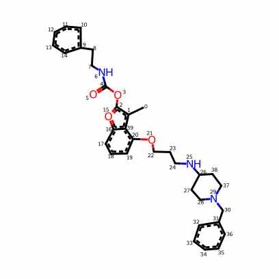 Cc1c(OC(=O)NCCc2ccccc2)oc2cccc(OCCCNC3CCN(Cc4ccccc4)CC3)c12